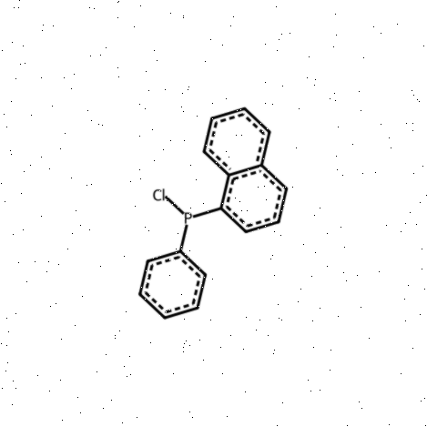 ClP(c1ccccc1)c1cccc2ccccc12